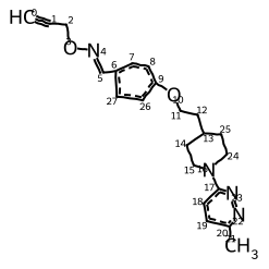 C#CCON=Cc1ccc(OCCC2CCN(c3ccc(C)nn3)CC2)cc1